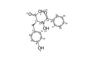 O=C(O)[C@H](Cc1ccc(O)cc1)N(O)C(=O)c1ccccc1